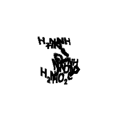 N=C(N)NCCC[C@H](NC(=O)N1CCCC1C(=O)O)c1nc(CN)no1